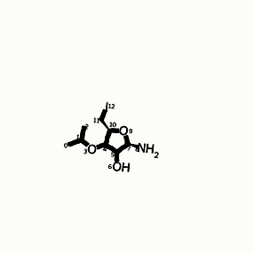 CC(C)OC1C(O)[C@H](N)O[C@@H]1CI